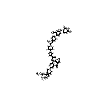 CCC1(C(=O)NC(C)C)CCN(c2ccc(-c3nc(-c4cnn(C5CCN(C(=O)CC6(O)CCN(c7ccc(N[C@H]8CCC(=O)NC8=O)cc7Cl)CC6)CC5)c4)cn4ncc(C#N)c34)cn2)CC1